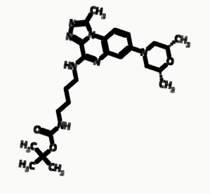 Cc1nnc2c(NCCCCNC(=O)OC(C)(C)C)nc3cc(N4C[C@@H](C)O[C@@H](C)C4)ccc3n12